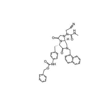 CNC(=O)N(CC#N)N1CC(=O)N2[C@@H](Cc3ccc(NC(=O)OCc4ccccc4)cc3)C(=O)N(Cc3cccc4ccccc34)C[C@@H]21